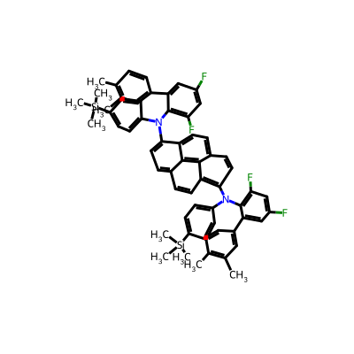 Cc1ccc(-c2cc(F)cc(F)c2N(c2ccc([Si](C)(C)C)cc2)c2ccc3ccc4c(N(c5ccc([Si](C)(C)C)cc5)c5c(F)cc(F)cc5-c5ccc(C)c(C)c5)ccc5ccc2c3c54)cc1C